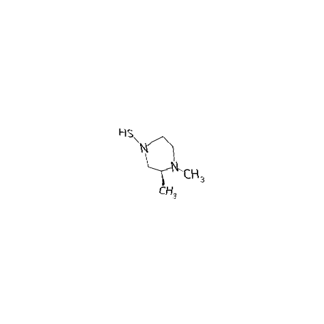 C[C@H]1CN(S)CCN1C